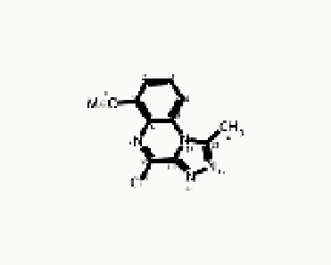 COc1cccc2c1nc(Cl)c1nnc(C)n12